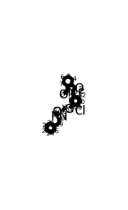 O=C1C2=C(CCCC2)C(=O)N1c1cc(OCc2nc(Cc3ccccc3)no2)c(Cl)cc1F